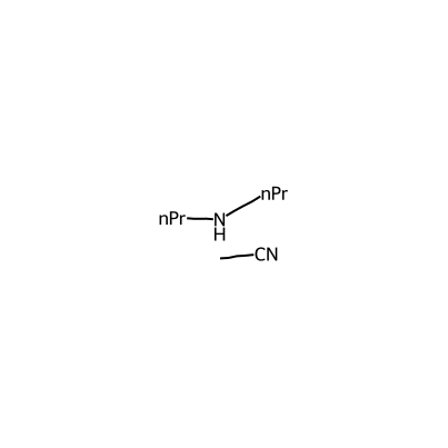 CC#N.CCCNCCC